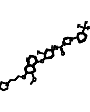 COc1cc2c(Oc3ccc(NC(=O)N4C=CN(c5cccc(C(F)(F)F)c5)C4)cc3F)ccnc2cc1OCCCN1CCCC1